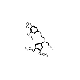 [CH2]CC(CCCc1ccc(OC)c(OC)c1)c1ccc(OC)c(OC)c1